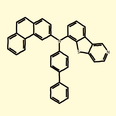 c1ccc(-c2ccc(N(c3ccc4ccc5ccccc5c4c3)c3cccc4c3sc3ccncc34)cc2)cc1